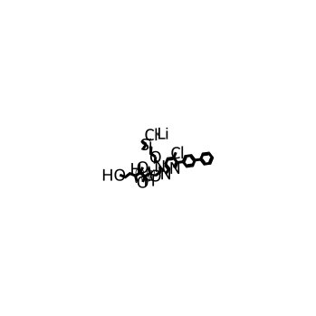 C[Si](C)(C)CCOCn1c(O[C@@H]2CO[C@@H]3C(CCO)CO[C@@H]32)nc2nc(-c3ccc(-c4ccccc4)cc3)c(Cl)cc21.[Li][Cl]